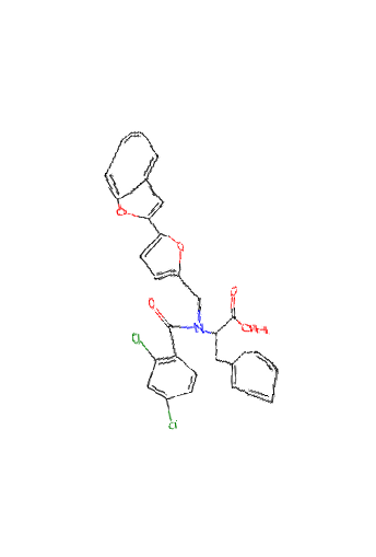 O=C(O)C(Cc1ccccc1)N(Cc1ccc(-c2cc3ccccc3o2)o1)C(=O)c1ccc(Cl)cc1Cl